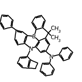 CC1(C)c2ccccc2B2c3cc(-c4ccccc4)ccc3N(c3cccc4c3CC4)c3cc(N(c4ccccc4)c4ccccc4)cc1c32